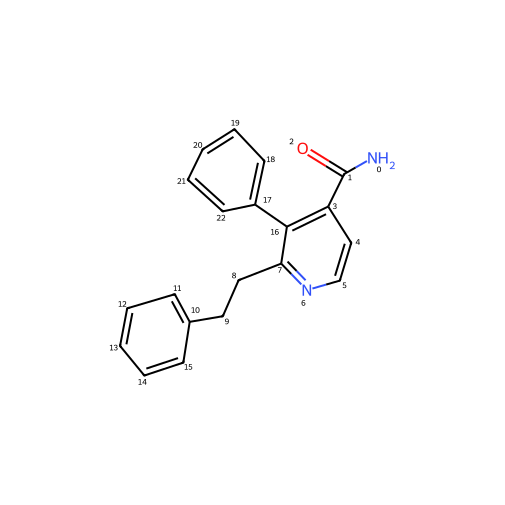 NC(=O)c1ccnc(CCc2ccccc2)c1-c1ccccc1